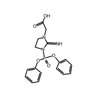 N=C1N(CC(=O)O)CCN1P(=O)(Oc1ccccc1)Oc1ccccc1